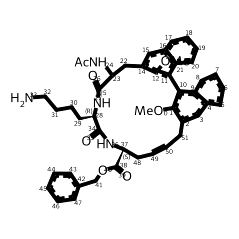 COc1c2cc3ccccc3c1-c1c(OC)c(cc3ccccc13)CC(NC(C)=O)C(=O)N[C@H](CCCCN)C(=O)N[C@H](C(=O)OCc1ccccc1)CC=CC2